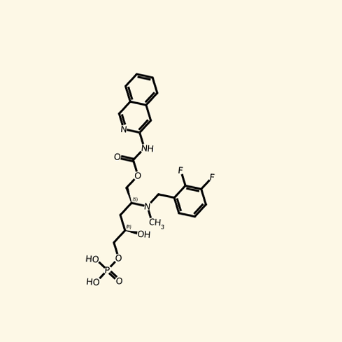 CN(Cc1cccc(F)c1F)[C@H](COC(=O)Nc1cc2ccccc2cn1)C[C@@H](O)COP(=O)(O)O